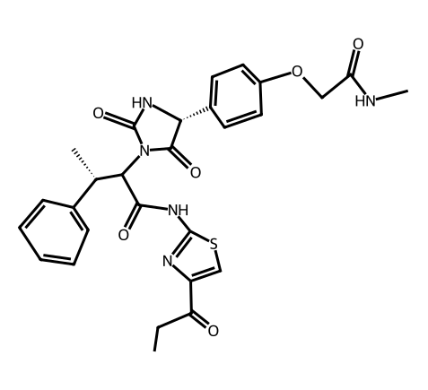 CCC(=O)c1csc(NC(=O)C([C@@H](C)c2ccccc2)N2C(=O)N[C@H](c3ccc(OCC(=O)NC)cc3)C2=O)n1